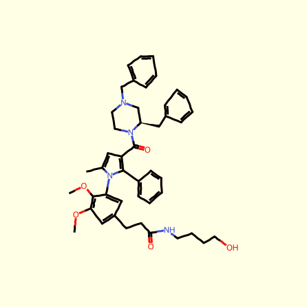 COc1cc(CCC(=O)NCCCCO)cc(-n2c(C)cc(C(=O)N3CCN(Cc4ccccc4)C[C@H]3Cc3ccccc3)c2-c2ccccc2)c1OC